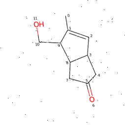 CC1=CC2CC(=O)CC2C1CO